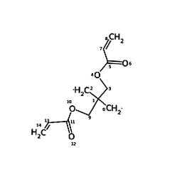 [CH2]C([CH2])(COC(=O)C=C)COC(=O)C=C